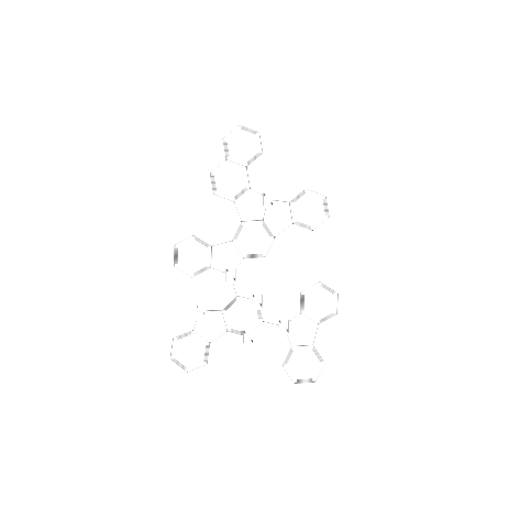 c1ccc2c(c1)ccc1c3c4c5ccccc5n(-c5nc(-n6c7ccccc7c7ccccc76)nc6c5sc5ccccc56)c4cc4c5ccccc5n(c21)c43